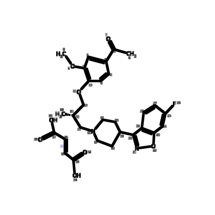 COc1cc(C(C)=O)ccc1OC[C@@H](C)CN1CCC(c2noc3cc(F)ccc23)CC1.O=C(O)/C=C/C(=O)O